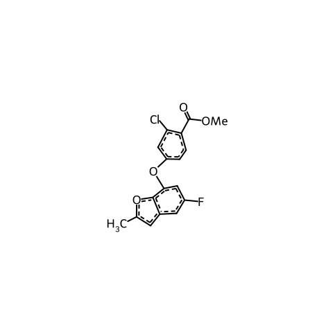 COC(=O)c1ccc(Oc2cc(F)cc3cc(C)oc23)cc1Cl